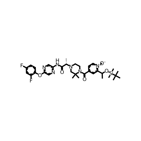 CC(O[Si](C)(C)C(C)(C)C)c1cc(C(=O)N2CCN([C@@H](C)C(=O)Nc3cnc(Oc4ccc(F)cc4F)cn3)CC2(C)C)cc[n+]1[O-]